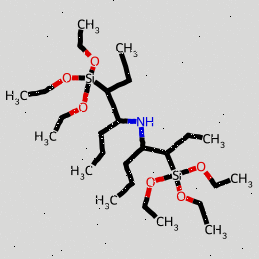 CCCC(NC(CCC)C(CC)[Si](OCC)(OCC)OCC)C(CC)[Si](OCC)(OCC)OCC